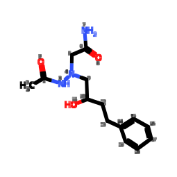 CC(=O)NN(CC(N)=O)CC(O)[CH]Cc1ccccc1